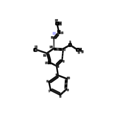 COc1cc(-c2ccccc2)nc(Cl)c1/C=N/O